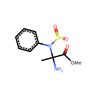 COC(=O)C(C)(N)N(c1ccccc1)[SH](=O)=O